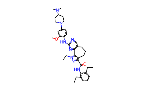 CCc1cccc(CC)c1NC(=O)c1nn(CC)c2c1CCCc1cnc(Nc3ccc(N4CCC(N(C)C)CC4)cc3OC)nc1-2